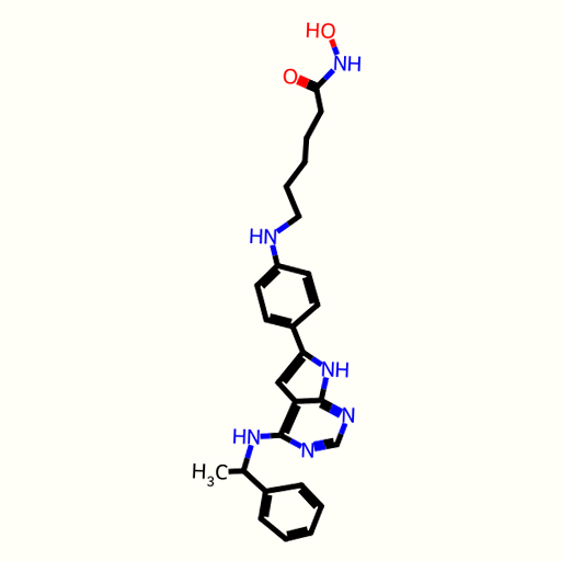 CC(Nc1ncnc2[nH]c(-c3ccc(NCCCCCC(=O)NO)cc3)cc12)c1ccccc1